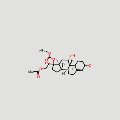 CCCCOC(=O)O[C@]1(C(=O)COC(=O)CCCC)CC[C@H]2[C@@H]3CCC4=CC(=O)CC[C@]4(C)[C@H]3[C@@H](O)C[C@@]21C